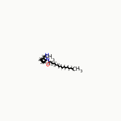 CCCCCCCCCCCCCCCC(=O)Nc1ccccc1CC